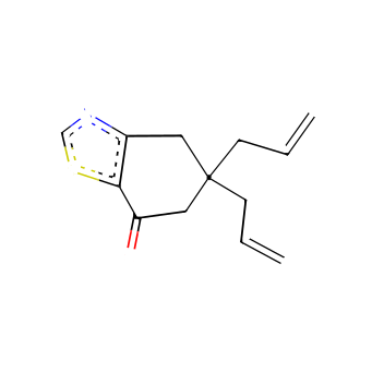 C=CCC1(CC=C)CC(=O)c2s[c]nc2C1